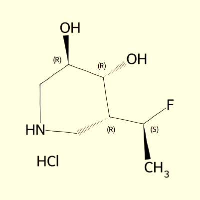 C[C@H](F)[C@@H]1CNC[C@@H](O)[C@@H]1O.Cl